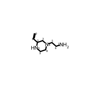 C=CC1CN(CCN)CCN1